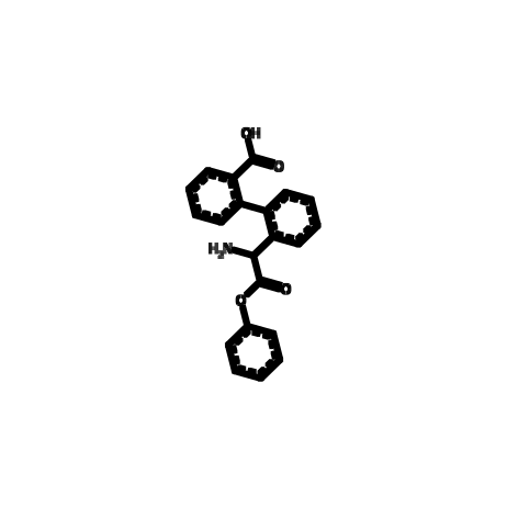 NC(C(=O)Oc1ccccc1)c1ccccc1-c1ccccc1C(=O)O